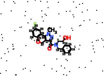 Cn1nc(C(=O)N(CCO)Cc2ccccc2)c2c1-c1cc(F)ccc1OC2